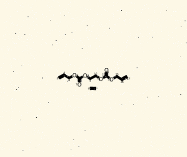 C=C.C=CCOC(=O)OCCOC(=O)OCC=C